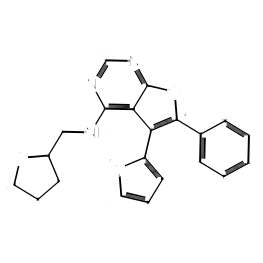 c1ccc(-c2oc3ncnc(NCC4CCCO4)c3c2-c2cccs2)cc1